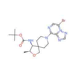 C[C@@H]1OCC2(CCN(c3ncc(Br)n4ncnc34)CC2)[C@@H]1NC(=O)OC(C)(C)C